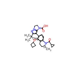 C[C@H]1CCc2c(ccc(-c3c(C(C)(C)C)nn4c3N(C(=O)O)CC4)c2OC2CCC2)N1C(=O)C1CC1